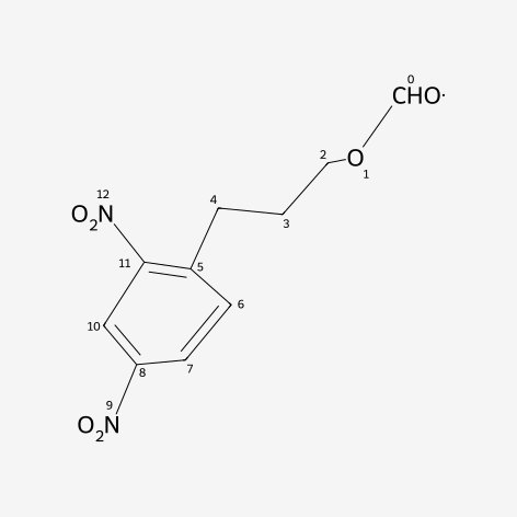 O=[C]OCCCc1ccc([N+](=O)[O-])cc1[N+](=O)[O-]